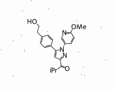 COc1ccc(-n2nc(C(=O)C(C)C)cc2-c2ccc(CCO)cc2)cn1